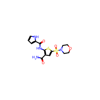 NC(=O)c1cc(S(=O)(=O)N2CCOCC2)sc1NC(=O)c1ccc[nH]1